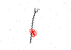 CCCCCCCCCCCCCCCCOC(CCCCCCC)S(=O)(=O)[O-].[Li+]